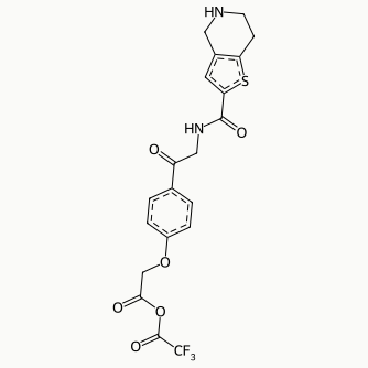 O=C(COc1ccc(C(=O)CNC(=O)c2cc3c(s2)CCNC3)cc1)OC(=O)C(F)(F)F